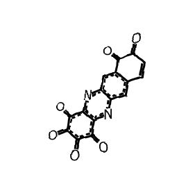 O=C1C=Cc2cc3nc4c(=O)c(=O)c(=O)c(=O)c4nc3cc2C1=O